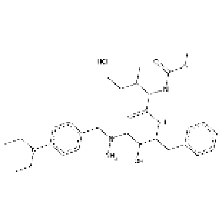 CCC(C)[C@H](NC(=O)OC)C(=O)NC(Cc1ccccc1)C(O)CN(N)Cc1ccc(N(CC)CC)cc1.Cl